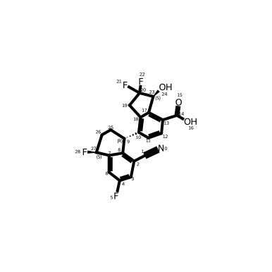 N#Cc1cc(F)cc2c1[C@@H](c1ccc(C(=O)O)c3c1CC(F)(F)[C@H]3O)CC[C@@H]2F